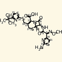 CON=C(C(=O)N[C@@H]1C(=O)N2C(C(=O)O)=C(CSc3nc(C(C)(C)C)cs3)CS[C@@H]12)c1csc(N)n1